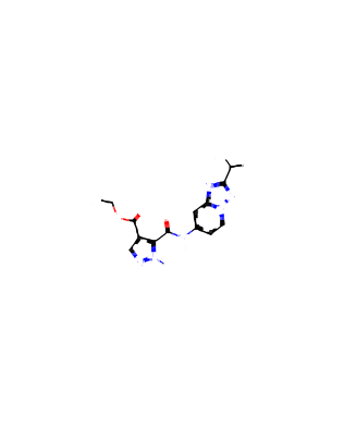 CCOC(=O)c1cnn(C)c1C(=O)Nc1ccn2nc(C(C)C)nc2c1